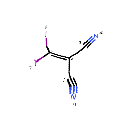 N#CC(C#N)=C(I)I